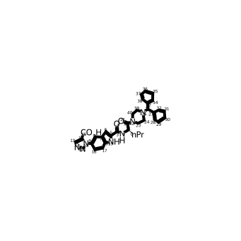 CCC[C@H](NC(=O)c1cc2cc(-n3nncc3C(=O)O)ccc2[nH]1)C(=O)N1CCN(C(c2ccccc2)c2ccccc2)CC1